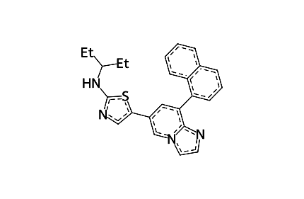 CCC(CC)Nc1ncc(-c2cc(-c3cccc4ccccc34)c3nccn3c2)s1